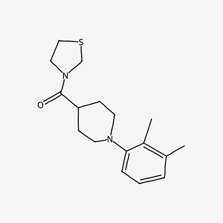 Cc1cccc(N2CCC(C(=O)N3CCSC3)CC2)c1C